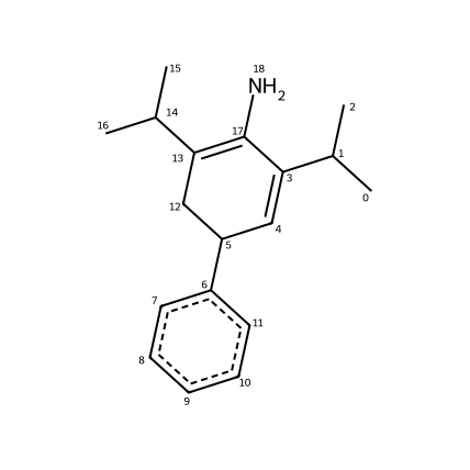 CC(C)C1=CC(c2ccccc2)CC(C(C)C)=C1N